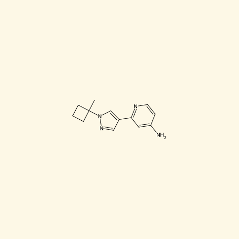 CC1(n2cc(-c3cc(N)ccn3)cn2)CCC1